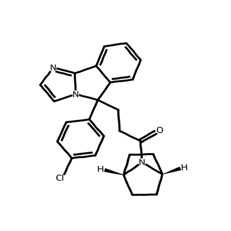 O=C(CCC1(c2ccc(Cl)cc2)c2ccccc2-c2nccn21)N1[C@H]2CC[C@@H]1CC2